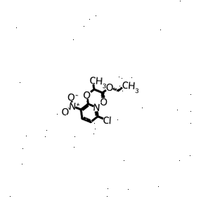 CCOC(=O)C(C)Oc1nc(Cl)ccc1[N+](=O)[O-]